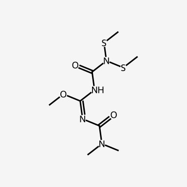 COC(=NC(=O)N(C)C)NC(=O)N(SC)SC